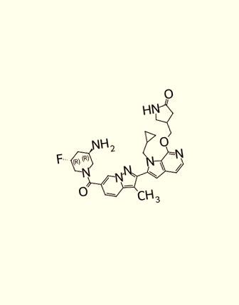 Cc1c(-c2cc3ccnc(OCC4CNC(=O)C4)c3n2CC2CC2)nn2cc(C(=O)N3C[C@H](N)C[C@@H](F)C3)ccc12